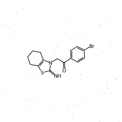 N=c1sc2c(n1CC(=O)c1ccc(Br)cc1)CCCC2